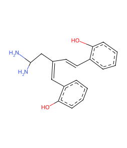 NC(N)CC(C=Cc1ccccc1O)=Cc1ccccc1O